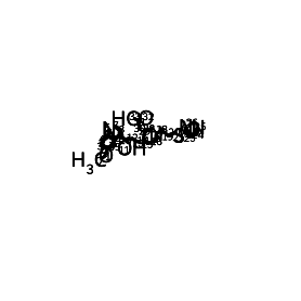 COc1ccc2nccc([C@@H](O)CC[C@@H]3CCN(CCCSc4ccncn4)C[C@@H]3CC(=O)O)c2c1